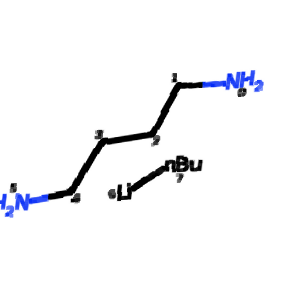 NCCCCN.[Li][CH2]CCC